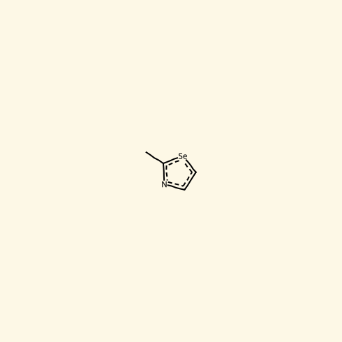 Cc1ncc[se]1